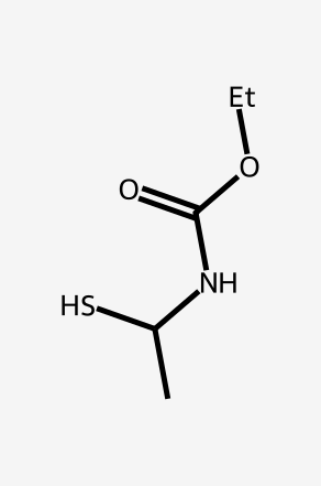 CCOC(=O)NC(C)S